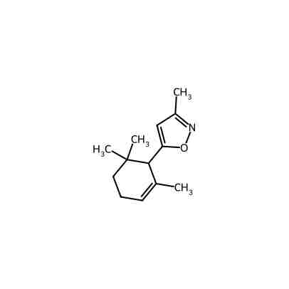 CC1=CCCC(C)(C)C1c1cc(C)no1